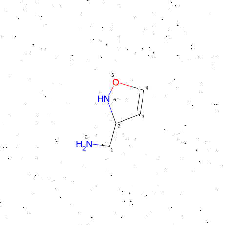 NCC1C=CON1